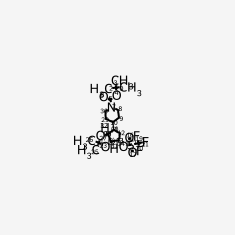 CC(C)(C)OC(=O)N1CCC([C@H]2C[C@H](OS(=O)(=O)C(F)(F)F)[C@@H]3OC(C)(C)O[C@@H]32)CC1